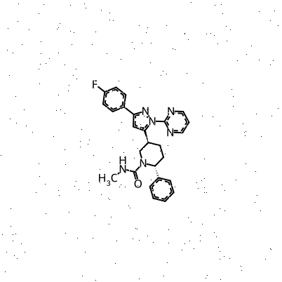 CNC(=O)N1C[C@@H](c2cc(-c3ccc(F)cc3)nn2-c2ncccn2)CC[C@@H]1c1ccccc1